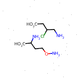 NCC(Cl)CC(=O)O.NOCCC(N)C(=O)O